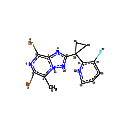 Cc1c(Br)nc(Br)c2nc(C3(c4ncccc4F)CC3)nn12